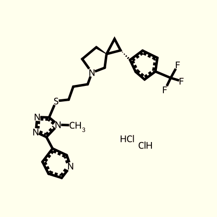 Cl.Cl.Cn1c(SCCCN2CC[C@]3(C[C@@H]3c3ccc(C(F)(F)F)cc3)C2)nnc1-c1cccnc1